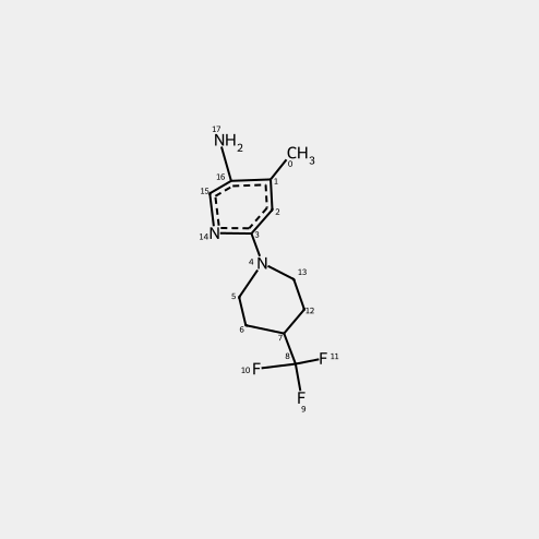 Cc1cc(N2CCC(C(F)(F)F)CC2)ncc1N